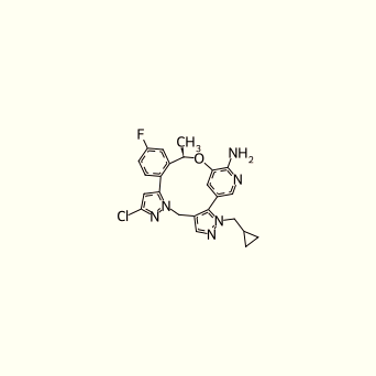 C[C@H]1Oc2cc(cnc2N)-c2c(cnn2CC2CC2)Cn2nc(Cl)cc2-c2ccc(F)cc21